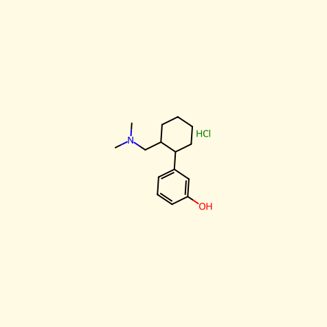 CN(C)CC1CCCCC1c1cccc(O)c1.Cl